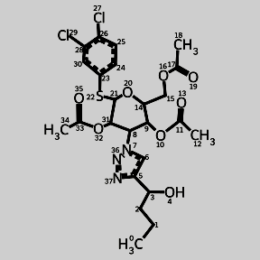 CCCC(O)c1cn(C2C(OC(C)=O)C(COC(C)=O)OC(Sc3ccc(Cl)c(Cl)c3)C2OC(C)=O)nn1